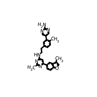 Cc1nc(NCCc2ccc(C)c(-c3cnc(N)nc3)c2)cc(-c2ccc3occ(C)c3c2)n1